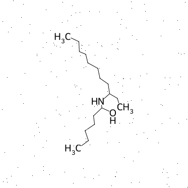 CCCCCCCCC(CC)NC(O)CCCCC